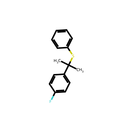 CC(C)(Sc1ccccc1)c1ccc(F)cc1